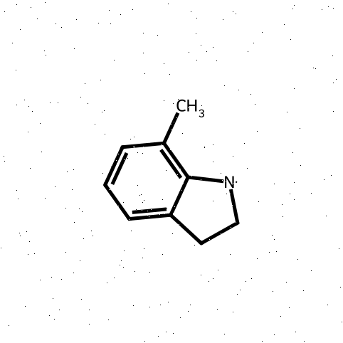 Cc1cccc2c1[N]CC2